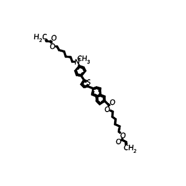 C=CC(=O)OCCCCCCOC(=O)c1ccc2cc(-c3ccc(-c4ccc(N(C)CCCCCCOC(=O)C=C)cc4)s3)ccc2c1